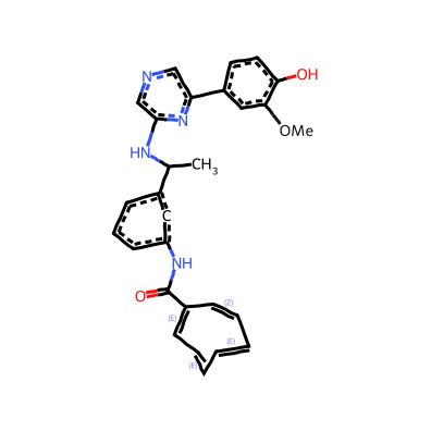 COc1cc(-c2cncc(NC(C)c3cccc(NC(=O)C4=C/C=C/C=C/C=C\4)c3)n2)ccc1O